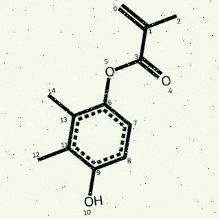 C=C(C)C(=O)Oc1ccc(O)c(C)c1C